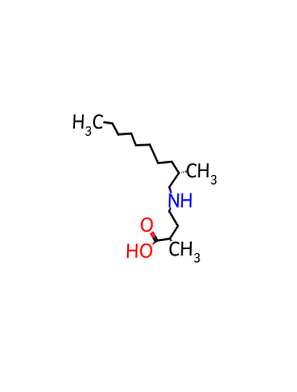 CCCCCCCC[C@H](C)CNCC[C@H](C)C(=O)O